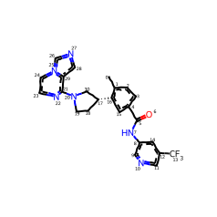 Cc1ccc(C(=O)Nc2cncc(C(F)(F)F)c2)cc1[C@@H]1CCN(c2nccn3cncc23)C1